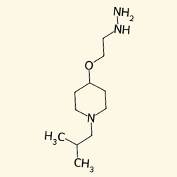 CC(C)CN1CCC(OCCNN)CC1